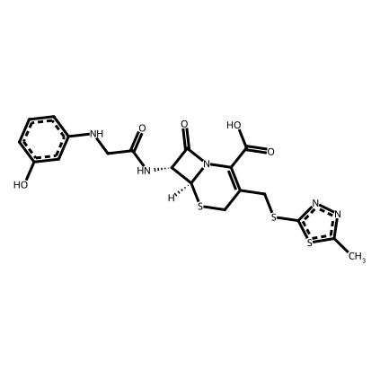 Cc1nnc(SCC2=C(C(=O)O)N3C(=O)[C@@H](NC(=O)CNc4cccc(O)c4)[C@@H]3SC2)s1